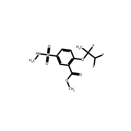 CNS(=O)(=O)c1ccc(OC(C)(F)C(F)F)c(C(=O)OC)c1